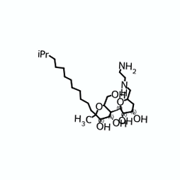 CC(C)CCCCCCCCCCC1(C)OC(CO)C([C@H]2OC(CNCCN)C[C@H](O)[C@H]2O)[C@H](O)[C@H]1O